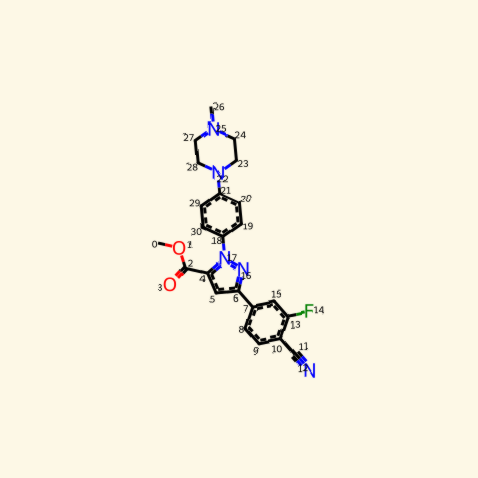 COC(=O)c1cc(-c2ccc(C#N)c(F)c2)nn1-c1ccc(N2CCN(C)CC2)cc1